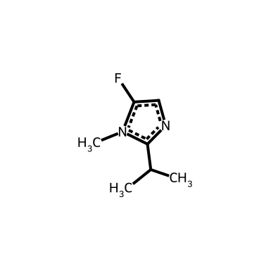 CC(C)c1ncc(F)n1C